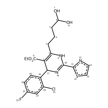 CCOC(=O)C1=C(CCCC(O)O)NC(c2nccs2)=NC1c1ccc(F)cc1Cl